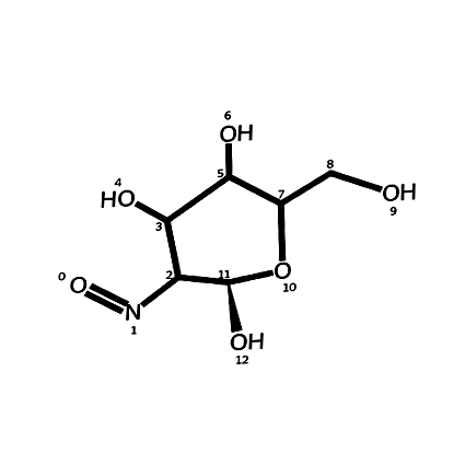 O=NC1C(O)C(O)C(CO)O[C@H]1O